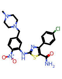 CN1CCN(Cc2ccc([N+](=O)[O-])c(Nc3nc(-c4ccc(Cl)cc4)c(C(N)=O)s3)c2)CC1